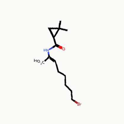 CC1(C)CC1C(=O)NC(=CCCCCCBr)C(=O)O